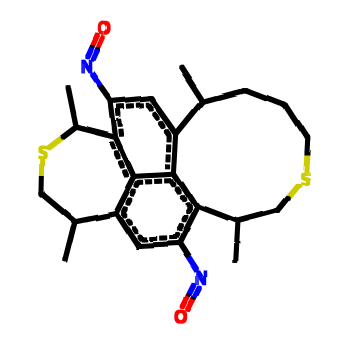 CC1CCCSCC(C)c2c(N=O)cc3c4c(c(N=O)cc1c24)C(C)SCC3C